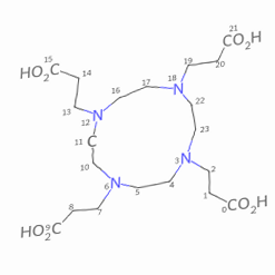 O=C(O)CCN1CCN(CCC(=O)O)CCN(CCC(=O)O)CCN(CCC(=O)O)CC1